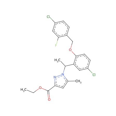 CCOC(=O)c1cc(C)n(C(C)c2cc(Cl)ccc2OCc2ccc(Cl)cc2F)n1